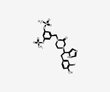 CS(=O)(=O)Oc1cc(CN2CCN(C(Cc3ccc(C#N)c(F)c3)c3cnc[nH]3)CC2=O)cc(OS(C)(=O)=O)c1